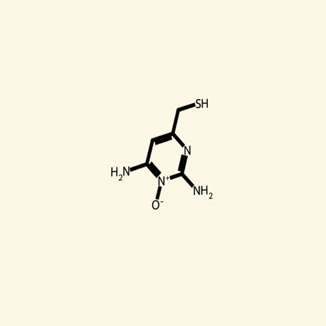 Nc1cc(CS)nc(N)[n+]1[O-]